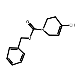 O=C(OCc1ccccc1)N1CC=C(O)CC1